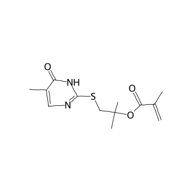 C=C(C)C(=O)OC(C)(C)CSc1ncc(C)c(=O)[nH]1